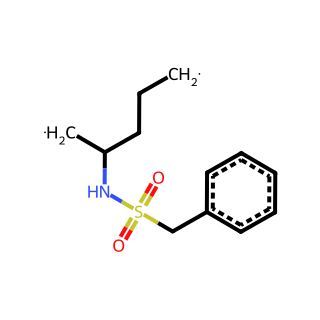 [CH2]CCC([CH2])NS(=O)(=O)Cc1ccccc1